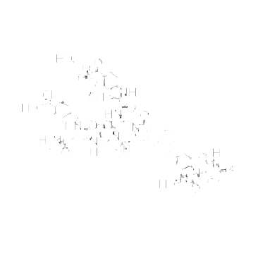 CCOP(=O)(OCC)C(=O)c1ccc2[nH]c(C(=O)N[C@H]3CN(C(=O)[C@H]4CC[C@@H](CCc5ccc6c(c5)n(C)c(=O)n6C5CCC(=O)NC5=O)CC4)CC[C@H]4CC[C@@H](C(=O)N[C@@H](CCC(N)=O)C(=O)NCc5ccc(C(C)C)cc5)N4C3=O)cc2c1